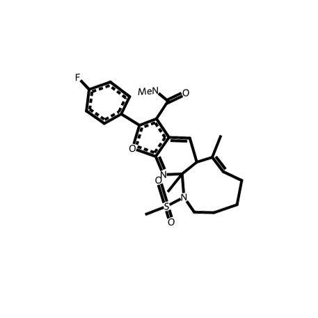 CNC(=O)c1c(-c2ccc(F)cc2)oc2c1=CC1/C(C)=C/CCCCN(S(C)(=O)=O)C1(C)N=2